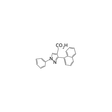 O=C(O)Cc1cn(-c2ccccc2)nc1-c1cccc2ccccc12